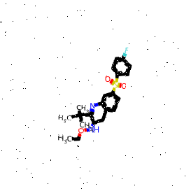 CCONC1Cc2ccc(S(=O)(=O)c3ccc(F)cc3)cc2N=C1C(C)(C)C